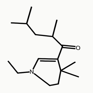 CCN1C=C(C(=O)C(C)CC(C)C)C(C)(C)CC1